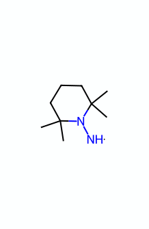 CC1(C)CCCC(C)(C)N1[NH]